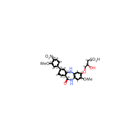 COc1cc2c(cc1OCC(O)CS(=O)(=O)O)Nc1cc(-c3ccc([N+](=O)[O-])c(OC)c3)ccc1C(=O)N2